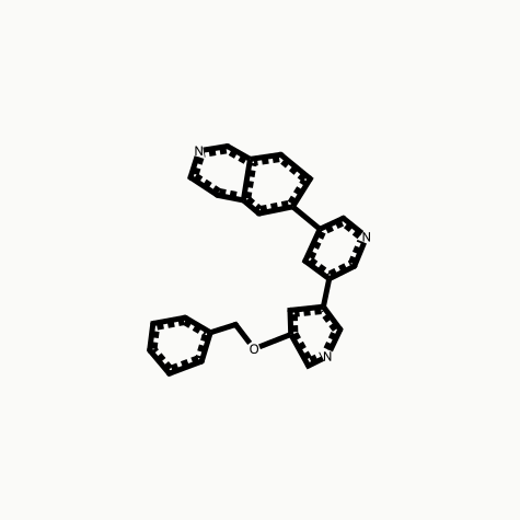 c1ccc(COc2cncc(-c3cncc(-c4ccc5cnccc5c4)c3)c2)cc1